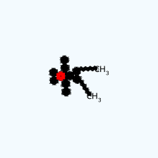 CCCCCCCCc1ccc(-c2cc(N(c3ccc(-c4ccccc4)cc3)c3ccc(-c4ccccc4)cc3)c(N(c3ccc(-c4ccccc4)cc3)c3ccc(-c4ccccc4)cc3)cc2-c2ccc(CCCCCCCC)cc2)cc1